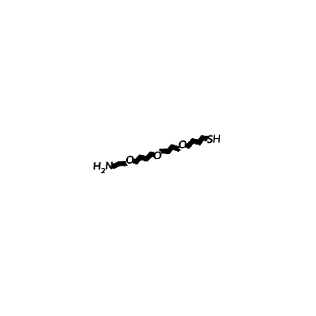 NCCCOCCCCOCCCCOCCCCS